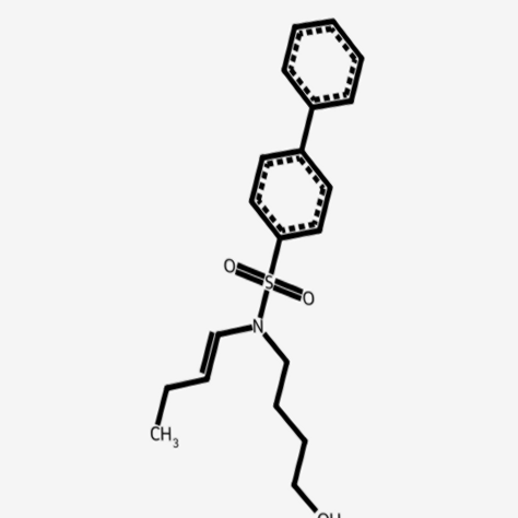 CCC=CN(CCCCO)S(=O)(=O)c1ccc(-c2ccccc2)cc1